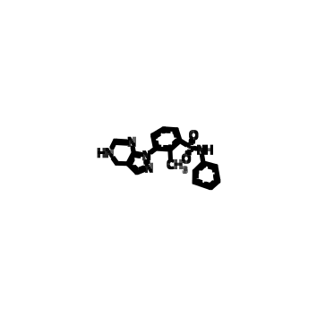 Cc1c(-n2ncc3c2N=CNC3)cccc1S(=O)(=O)Nc1ccccc1